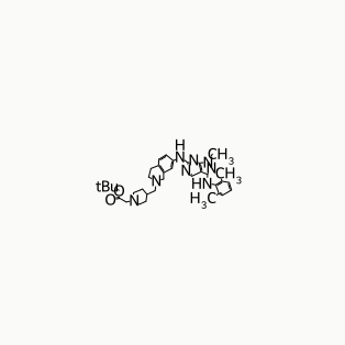 Cc1cccc(C)c1Nc1nn(C)c2nc(Nc3ccc4c(c3)CN(CC3CCN(CC(=O)OC(C)(C)C)CC3)CC4)ncc12